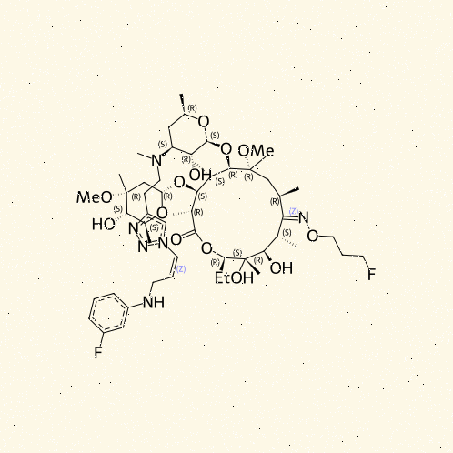 CC[C@H]1OC(=O)[C@H](C)[C@@H](O[C@H]2C[C@@](C)(OC)[C@@H](O)[C@H](C)O2)[C@H](C)[C@@H](O[C@@H]2O[C@H](C)C[C@H](N(C)CCc3cn(/C=C\CNc4cccc(F)c4)nn3)[C@H]2O)[C@](C)(OC)C[C@@H](C)/C(=N/OCCCF)[C@H](C)[C@@H](O)[C@]1(C)O